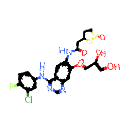 O=C(CC1CC[S+]([O-])S1)Nc1cc2c(Nc3ccc(F)c(Cl)c3)ncnc2cc1OCC(O)CO